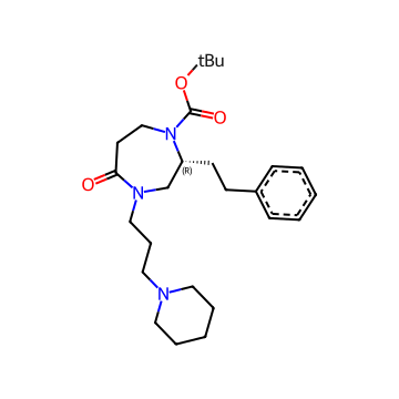 CC(C)(C)OC(=O)N1CCC(=O)N(CCCN2CCCCC2)C[C@H]1CCc1ccccc1